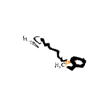 CCCCCCCCCC[P]1(C)C=Cc2ccccc21